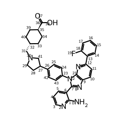 Nc1ncccc1-c1nc2ccc(-c3ccccc3F)nc2n1-c1ccc(C2CCN(C[C@H]3CC[C@H](C(=O)O)CC3)C2)cc1